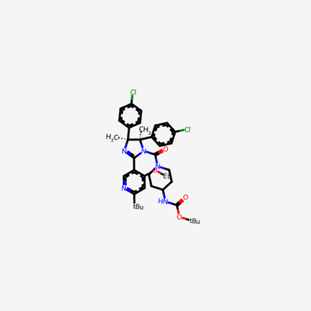 CCOc1cc(C(C)(C)C)ncc1C1=N[C@@](C)(c2ccc(Cl)cc2)[C@@](C)(c2ccc(Cl)cc2)N1C(=O)N1CCC(NC(=O)OC(C)(C)C)CC1